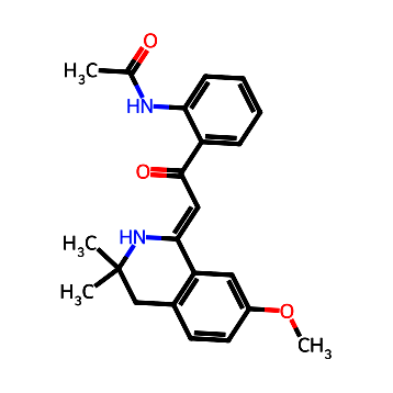 COc1ccc2c(c1)/C(=C/C(=O)c1ccccc1NC(C)=O)NC(C)(C)C2